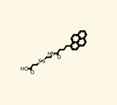 O=C(O)CCSSCCNC(=O)CCCc1ccc2ccc3cccc4ccc1c2c34